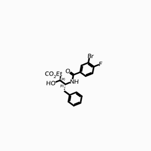 CCOC(=O)[C@H](O)[C@@H](Cc1ccccc1)NC(=O)c1ccc(F)c(Br)c1